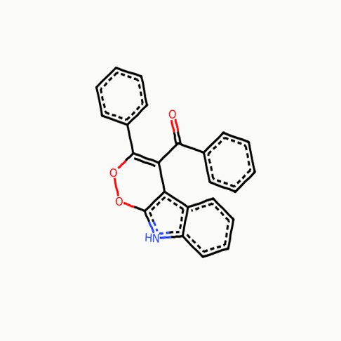 O=C(C1=C(c2ccccc2)OOc2[nH]c3ccccc3c21)c1ccccc1